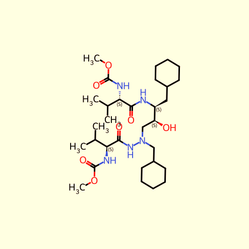 COC(=O)N[C@H](C(=O)N[C@@H](CC1CCCCC1)[C@@H](O)CN(CC1CCCCC1)NC(=O)[C@@H](NC(=O)OC)C(C)C)C(C)C